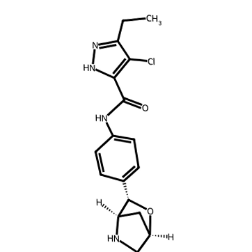 CCc1n[nH]c(C(=O)Nc2ccc([C@@H]3O[C@H]4CN[C@@H]3C4)cc2)c1Cl